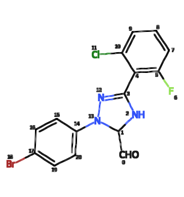 O=CC1NC(c2c(F)cccc2Cl)=NN1c1ccc(Br)cc1